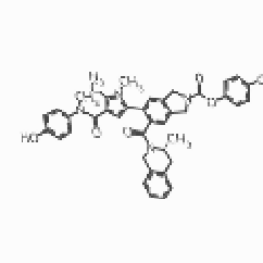 Cc1c(C(=O)N(C)c2ccc(O)cc2)cc(-c2cc3c(cc2C(=O)N2Cc4ccccc4C[C@H]2C)CN(C(=O)Oc2ccc(Cl)cc2)C3)n1C